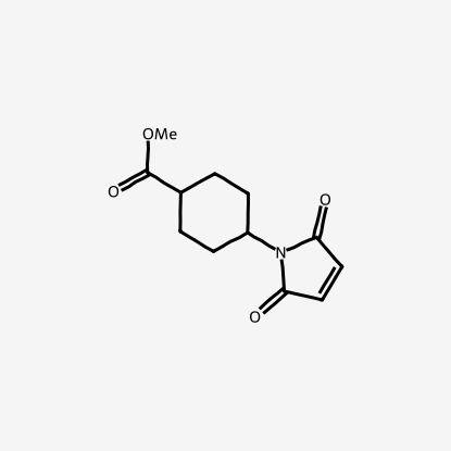 COC(=O)C1CCC(N2C(=O)C=CC2=O)CC1